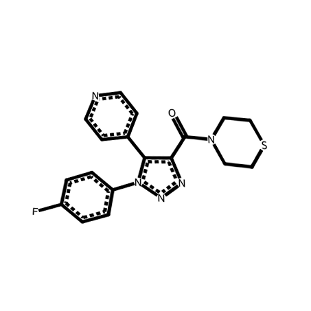 O=C(c1nnn(-c2ccc(F)cc2)c1-c1ccncc1)N1CCSCC1